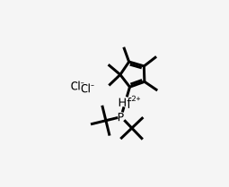 CC1=C(C)C(C)(C)[C]([Hf+2][P](C(C)(C)C)C(C)(C)C)=C1C.[Cl-].[Cl-]